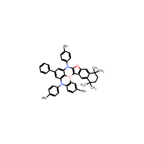 CC(C)(C)c1ccc(N2c3ccc(C(C)(C)C)cc3B3c4c2cc(-c2ccccc2)cc4N(c2ccc(C(C)(C)C)cc2)c2oc4cc5c(cc4c23)C(C)(C)CCC5(C)C)cc1